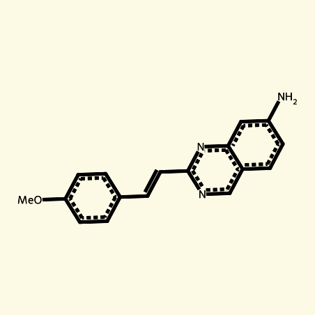 COc1ccc(/C=C/c2ncc3ccc(N)cc3n2)cc1